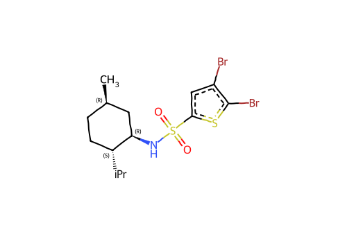 CC(C)[C@@H]1CC[C@@H](C)C[C@H]1NS(=O)(=O)c1cc(Br)c(Br)s1